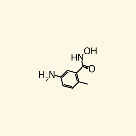 Cc1ccc(N)cc1C(=O)NO